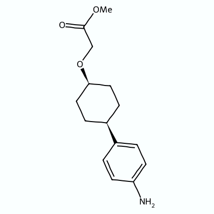 COC(=O)CO[C@H]1CC[C@@H](c2ccc(N)cc2)CC1